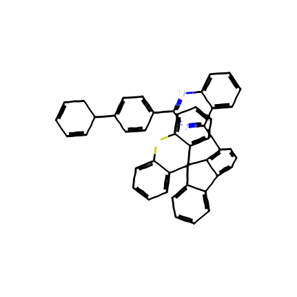 C1=CCC(c2ccc(-c3nc(-c4cccc5c4C4(c6ccccc6Sc6ccccc64)c4ccccc4-5)c4ccccc4n3)cc2)C=C1